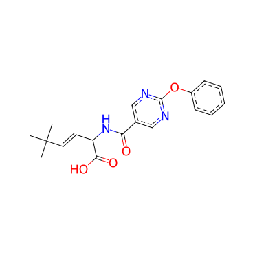 CC(C)(C)C=CC(NC(=O)c1cnc(Oc2ccccc2)nc1)C(=O)O